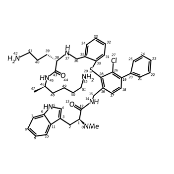 CN[C@@H](Cc1c[nH]c2ccccc12)C(=O)NCc1ccc(-c2ccccc2)c(Cl)c1Sc1ccccc1CN[C@@H](CCCN)C(=O)N[C@H](C)CCCCN